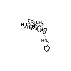 CC(C)(C)CC(C)(C)c1ccc(OCCNCc2ccccc2)cc1.Cl